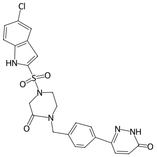 O=C1CN(S(=O)(=O)c2cc3cc(Cl)ccc3[nH]2)CCN1Cc1ccc(-c2ccc(=O)[nH]n2)cc1